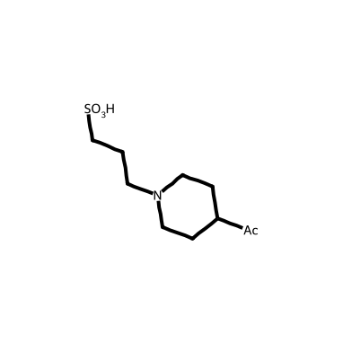 CC(=O)C1CCN(CCCS(=O)(=O)O)CC1